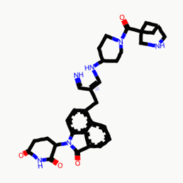 N=C/C(=C\NC1CCN(C(=O)C23CNCC(C2)C3)CC1)Cc1ccc2c3c(cccc13)C(=O)N2C1CCC(=O)NC1=O